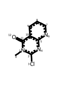 Cn1c(Cl)nc2ncccc2c1=O